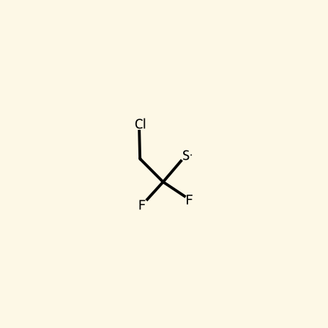 FC(F)([S])CCl